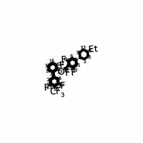 CC[C@H]1CC[C@H](c2cc(F)c(C(F)(F)Oc3ccccc3-c3cc(F)c(C(F)(F)F)c(F)c3)c(F)c2)CC1